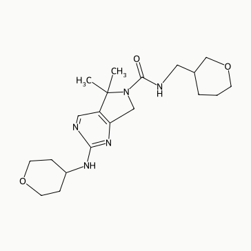 CC1(C)c2cnc(NC3CCOCC3)nc2CN1C(=O)NCC1CCCOC1